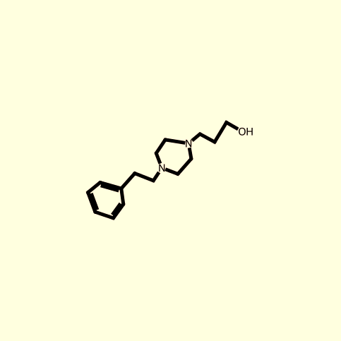 OCCCN1CCN(CCc2ccccc2)CC1